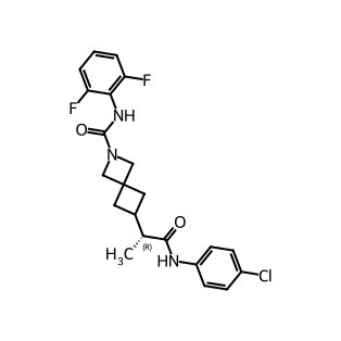 C[C@@H](C(=O)Nc1ccc(Cl)cc1)C1CC2(C1)CN(C(=O)Nc1c(F)cccc1F)C2